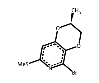 CSc1cc2c(c(Br)n1)OC[C@H](C)O2